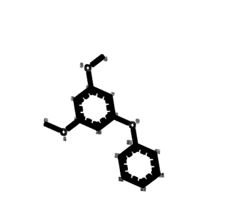 COc1cc(OC)cc(Oc2[c]cccc2)c1